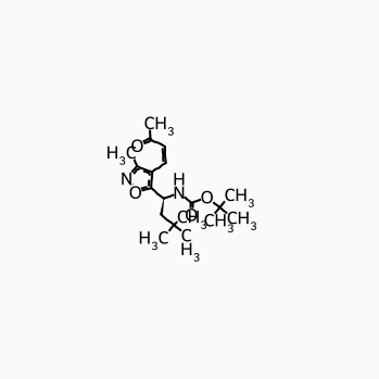 CC(=O)/C=C\c1c(C)noc1[C@H](CC(C)(C)C)NC(=O)OC(C)(C)C